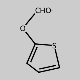 O=[C]Oc1cccs1